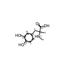 CNC(C)(Cc1ccc(O)c(O)c1)C(=O)O